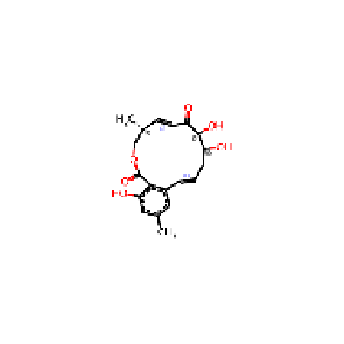 Cc1cc(O)c2c(c1)/C=C/C[C@H](O)[C@H](O)C(=O)/C=C/[C@@H](C)COC2=O